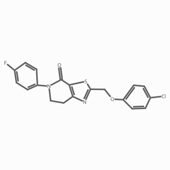 O=C1c2sc(COc3ccc(Cl)cc3)nc2CCN1c1ccc(F)cc1